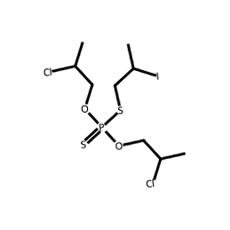 CC(Cl)COP(=S)(OCC(C)Cl)SCC(C)I